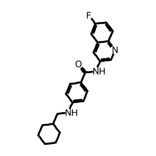 O=C(Nc1cnc2ccc(F)cc2c1)c1ccc(NCC2CCCCC2)cc1